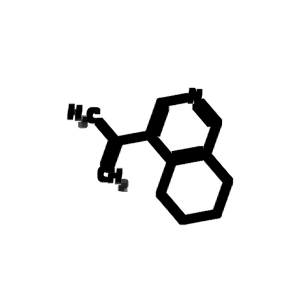 C=C(C)c1cncc2c1CCCC2